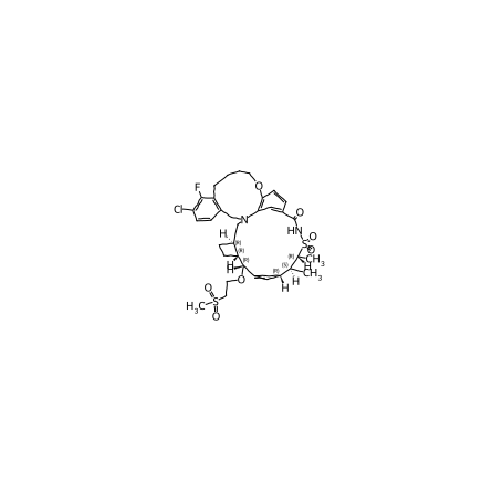 C[C@@H]1[C@@H](C)S(=O)(=O)NC(=O)c2ccc3c(c2)N(Cc2ccc(Cl)c(F)c2CCCCO3)C[C@@H]2CC[C@H]2[C@@H](OCCS(C)(=O)=O)C2=C[C@H]1C2